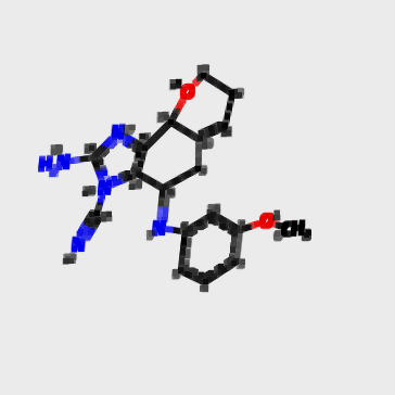 COc1cccc(N=C2CC3=CCCOC3c3nc(N)n(C#N)c32)c1